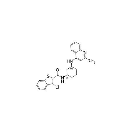 O=C(N[C@@H]1CCC[C@H](Nc2cc(C(F)(F)F)nc3ccccc23)C1)c1sc2ccccc2c1Cl